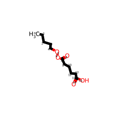 CCCCCOOC(=O)CCCCC(=O)O